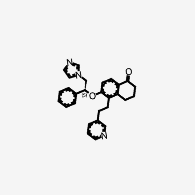 O=C1CCCc2c1ccc(O[C@H](Cn1ccnc1)c1ccccc1)c2CCc1cccnc1